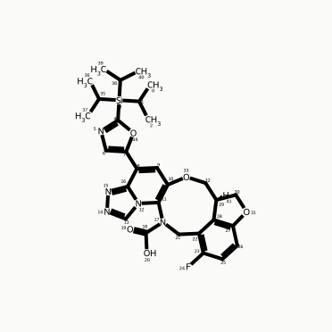 CC(C)[Si](c1ncc(-c2cc3c(n4cnnc24)N(C(=O)O)Cc2c(F)ccc4c2[C@@H](CO4)CO3)o1)(C(C)C)C(C)C